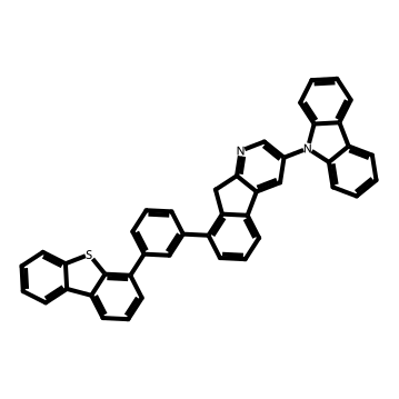 c1cc(-c2cccc3c2Cc2ncc(-n4c5ccccc5c5ccccc54)cc2-3)cc(-c2cccc3c2sc2ccccc23)c1